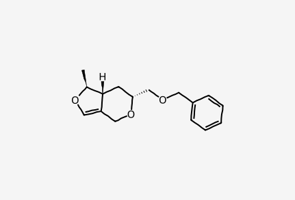 C[C@@H]1OC=C2CO[C@@H](COCc3ccccc3)C[C@H]21